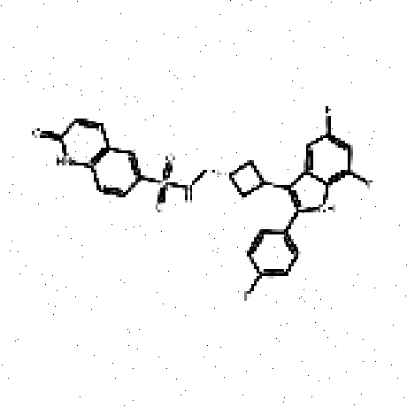 O=c1ccc2cc(S(=O)(=O)NC[C@H]3C[C@H](c4c(-c5ccc(F)cc5)[nH]c5c(F)cc(F)cc54)C3)ccc2[nH]1